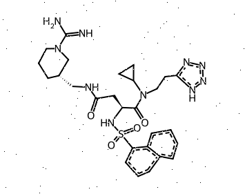 N=C(N)N1CCC[C@@H](CNC(=O)C[C@H](NS(=O)(=O)c2cccc3ccccc23)C(=O)N(CCc2nnn[nH]2)C2CC2)C1